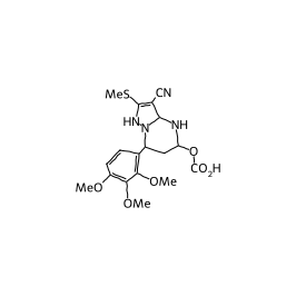 COc1ccc(C2CC(OC(=O)O)NC3C(C#N)=C(SC)NN32)c(OC)c1OC